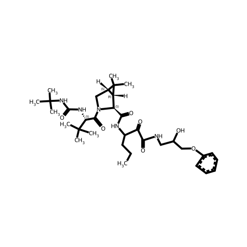 CCCC(NC(=O)[C@@H]1[C@@H]2[C@H](CN1C(=O)[C@@H](NC(=O)NC(C)(C)C)C(C)(C)C)C2(C)C)C(=O)C(=O)NCC(O)COc1ccccc1